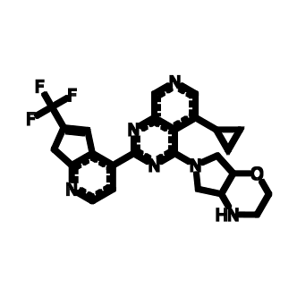 FC(F)(F)C1=Cc2c(-c3nc(N4CC5NCCOC5C4)c4c(C5CC5)cncc4n3)ccnc2C1